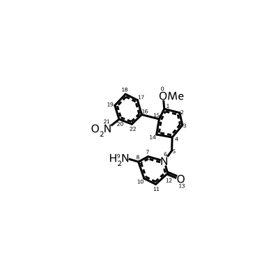 COc1ccc(Cn2cc(N)ccc2=O)cc1-c1cccc([N+](=O)[O-])c1